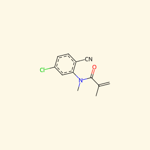 C=C(C)C(=O)N(C)c1cc(Cl)ccc1C#N